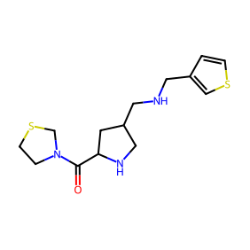 O=C(C1CC(CNCc2ccsc2)CN1)N1CCSC1